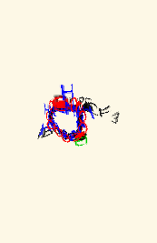 CCC(C)[C@@H]1NC(=O)[C@H](C)N(C)C(=O)C[C@@H](C)NC(=O)[C@H](CC(C)C)N(C)C(=O)C(C)(C)NC(=O)[C@H](CC(C)C)N(C)C(=O)[C@H](CCc2ccc(C(F)(F)F)cc2)NC(=O)CN(C)C(=O)[C@H](Cc2ccc(Cl)cc2)N(C)C(=O)CN(C)C(=O)CN(C)C1=O